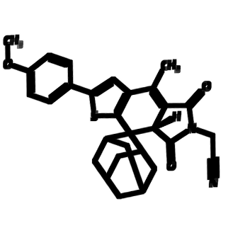 COc1ccc(-c2cc3c(s2)C2(C4CC5CC(C4)CC2C5)[C@H]2C(=O)N(CC#N)C(=O)C2=C3C)cc1